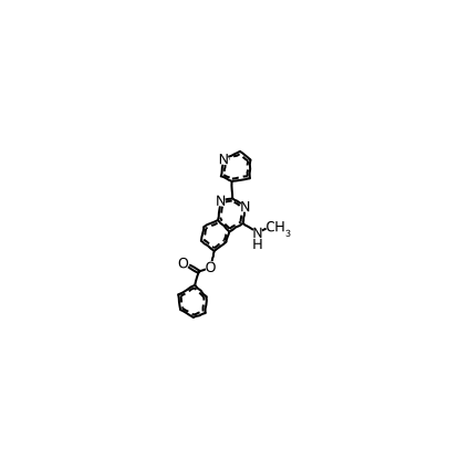 CNc1nc(-c2cccnc2)nc2ccc(OC(=O)c3ccccc3)cc12